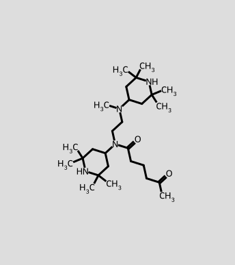 CC(=O)CCCC(=O)N(CCN(C)C1CC(C)(C)NC(C)(C)C1)C1CC(C)(C)NC(C)(C)C1